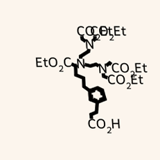 CCOC(=O)CN(CCN(CCN(CC(=O)OCC)CC(=O)OCC)C(CCCc1cccc(CCC(=O)O)c1)C(=O)OCC)CC(=O)OCC